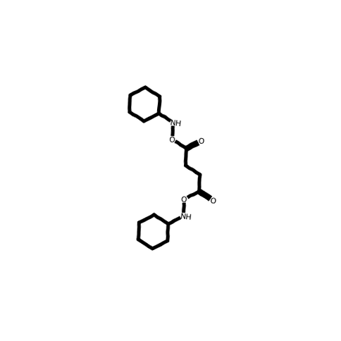 O=C(CCC(=O)ONC1CCCCC1)ONC1CCCCC1